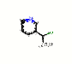 CCOC(=O)C(Cl)c1cccnc1